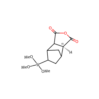 CO[Si](OC)(OC)C1CC2CC1C1C(=O)OC(=O)[C@@H]21